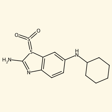 NC1=Nc2ccc(NC3CCCCC3)cc2S1=S(=O)=O